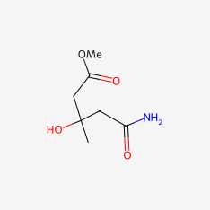 COC(=O)CC(C)(O)CC(N)=O